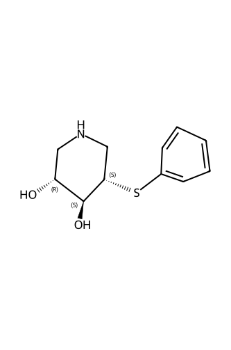 O[C@H]1[C@H](O)CNC[C@@H]1Sc1ccccc1